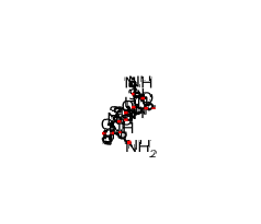 NCCC1CCCN(c2c(NC(=O)c3csc(-c4sccc4NC(=O)C4(N5CCOCC5)CCN(c5ccccc5NC(=O)c5csc(-c6cn[nH]c6)n5)CC4)n3)ccc3ccccc23)C1